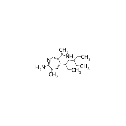 C=C(N)C1=CN=C(N)C(=C)C=C1C(CC)CC(CC)CC